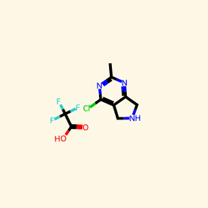 Cc1nc(Cl)c2c(n1)CNC2.O=C(O)C(F)(F)F